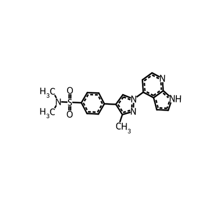 Cc1nn(-c2ccnc3[nH]ccc23)cc1-c1ccc(S(=O)(=O)N(C)C)cc1